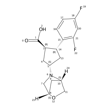 O=C(O)[C@@H]1C[C@@H](N2C[C@@H]3C[C@H]2CO3)C[C@H]1c1ccc(F)cc1F